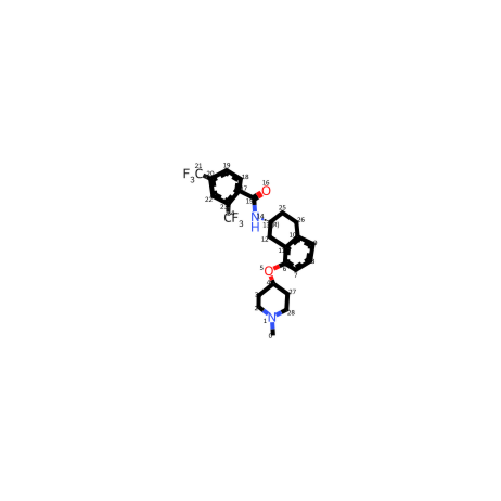 CN1CCC(Oc2cccc3c2C[C@H](NC(=O)c2ccc(C(F)(F)F)cc2C(F)(F)F)CC3)CC1